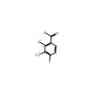 O=C(Cl)c1ccc(F)c(C(F)(F)F)c1Cl